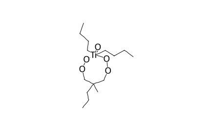 CCC[CH2][Ti]1(=[O])([CH2]CCC)[O]OCC(C)(CCC)CO[O]1